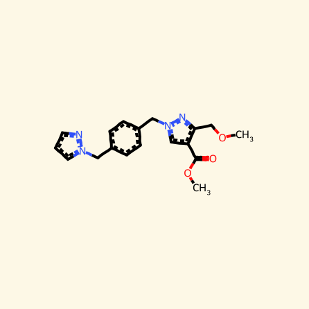 COCc1nn(Cc2ccc(Cn3cccn3)cc2)cc1C(=O)OC